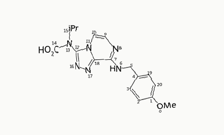 COc1ccc(CNc2nccn3c(N(C(=O)O)C(C)C)nnc23)cc1